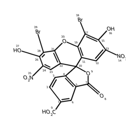 O=C(O)c1ccc2c(c1)C(=O)OC21c2cc([N+](=O)[O-])c(O)c(Br)c2Oc2c1cc([N+](=O)[O-])c(O)c2Br